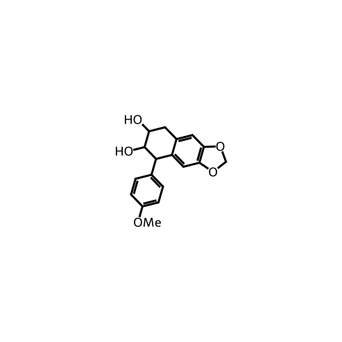 COc1ccc(C2c3cc4c(cc3CC(O)C2O)OCO4)cc1